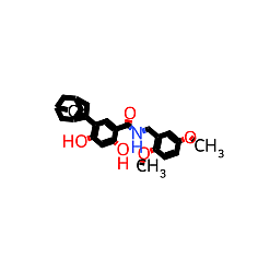 COc1ccc(OC)c(CNC(=O)c2cc(C34CC5CC(CC3C5)C4)c(O)cc2O)c1